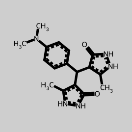 Cc1[nH][nH]c(=O)c1C(c1ccc(N(C)C)cc1)c1c(C)[nH][nH]c1=O